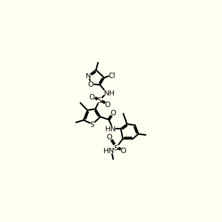 CNS(=O)(=O)c1cc(C)cc(C)c1NC(=O)c1sc(C)c(C)c1S(=O)(=O)Nc1onc(C)c1Cl